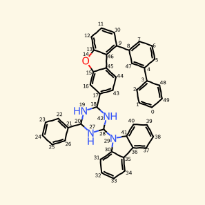 c1ccc(-c2cccc(-c3cccc4oc5cc(C6NC(c7ccccc7)NC(n7c8ccccc8c8ccccc87)N6)ccc5c34)c2)cc1